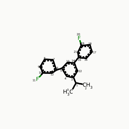 CC(C)c1cc(-c2cccc(F)c2)cc(-c2cccc(F)c2)c1